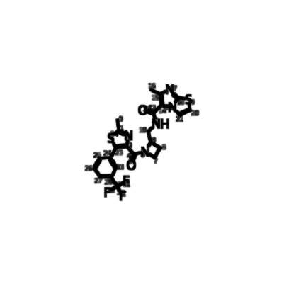 Cc1nc(C(=O)N2CCC2CNC(=O)c2c(C)nc3sccn23)c(-c2cccc(C(F)(F)F)c2)s1